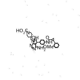 COc1cc(-c2nn(CC3(O)CCN(C(=O)O)CC3)c3ncnc(N)c23)ccc1NC(=O)C1CC1c1ccccc1